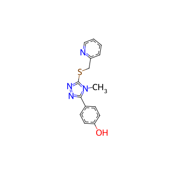 Cn1c(SCc2ccccn2)nnc1-c1ccc(O)cc1